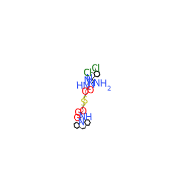 Nc1nc(NC(=O)OCCSSCCOC(=O)NC(=O)N2c3ccccc3C=Cc3ccccc32)nnc1-c1cccc(Cl)c1Cl